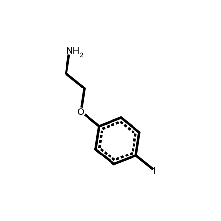 NCCOc1ccc(I)cc1